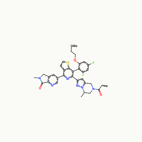 C=CC(=O)N1Cc2cc(-c3nc(-c4cnc5c(c4)CN(C)C5=O)c4ccsc4c3-c3c(F)cc(F)cc3OCCOC)nn2C(C)C1